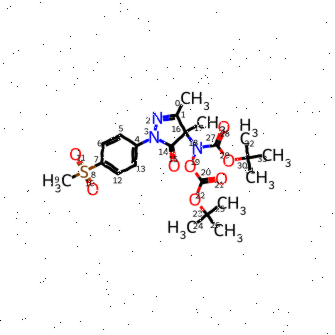 CC1=NN(c2ccc(S(C)(=O)=O)cc2)C(=O)C1(C)N(OC(=O)OC(C)(C)C)C(=O)OC(C)(C)C